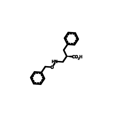 O=C(O)[C@@H](CNOCc1ccccc1)Cc1ccccc1